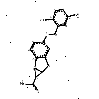 O=C(O)C1C2Cc3cc(OCc4cc(Br)ccc4F)ccc3C21